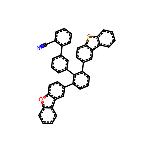 N#Cc1ccccc1-c1cccc(-c2c(-c3ccc4oc5ccccc5c4c3)cccc2-c2ccc3sc4ccccc4c3c2)c1